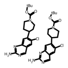 CC(C)(C)OC(=O)N1CCC(c2cc3nc(N)ncc3cc2Cl)CC1.CC(C)(C)OC(=O)N1CCC(c2cc3nc(N)ncc3cc2Cl)CC1